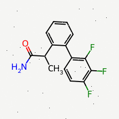 CC(C(N)=O)c1ccccc1-c1ccc(F)c(F)c1F